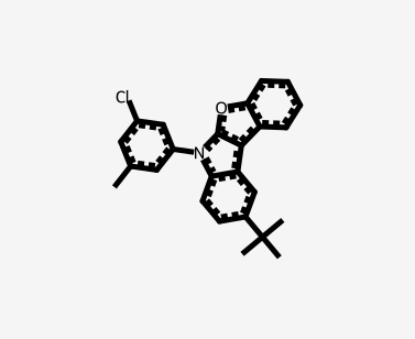 Cc1cc(Cl)cc(-n2c3ccc(C(C)(C)C)cc3c3c4ccccc4oc32)c1